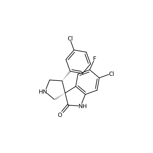 O=C1Nc2cc(Cl)c(F)cc2[C@@]12CNC[C@@H]2c1cccc(Cl)c1